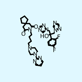 O=C1CC2(CCCC2)CC(=O)N1CCCCN1CCN(c2ncccn2)CC1.OC(Cn1cncn1)(Cn1cncn1)c1ccc(F)cc1F